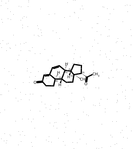 CC(=O)[C@H]1CC[C@H]2[C@@H]3C=CC4=CC(=O)CC[C@@H]4[C@H]3CC[C@]12C